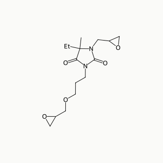 CCC1(C)C(=O)N(CCCOCC2CO2)C(=O)N1CC1CO1